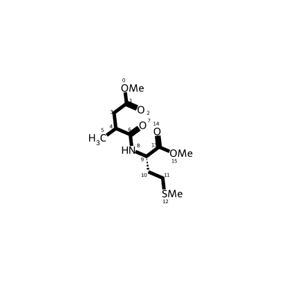 COC(=O)CC(C)C(=O)N[C@@H](CCSC)C(=O)OC